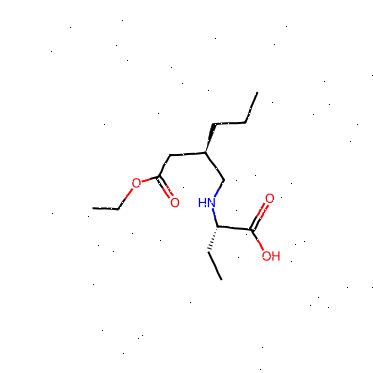 CCC[C@@H](CN[C@@H](CC)C(=O)O)CC(=O)OCC